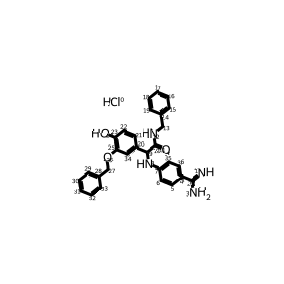 Cl.N=C(N)c1ccc(NC(C(=O)NCc2ccccc2)c2ccc(O)c(OCc3ccccc3)c2)cc1